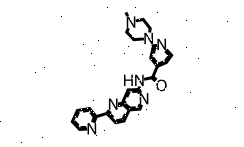 CN1CCN(c2cc(C(=O)Nc3cc4nc(-c5ccccn5)ccc4cn3)ccn2)CC1